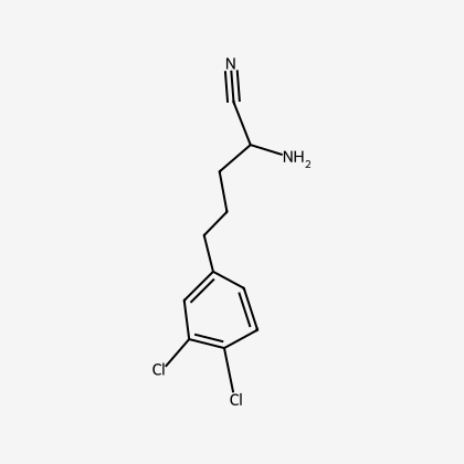 N#CC(N)CCCc1ccc(Cl)c(Cl)c1